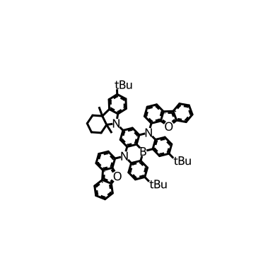 CC(C)(C)c1ccc2c(c1)B1c3cc(C(C)(C)C)ccc3N(c3cccc4c3oc3ccccc34)c3cc(N4c5ccc(C(C)(C)C)cc5C5(C)CCCCC45C)cc(c31)N2c1cccc2c1oc1ccccc12